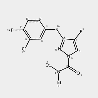 CCN(CC)C(=O)n1cc(F)c(Sc2ccc(F)c(Cl)c2)n1